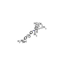 CCCCC(NC(=O)/C(C)=C/c1ccc(C(=O)Oc2ccc(C(=N)N)cc2)cc1)C(=O)OC(C)C(=O)O